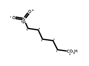 O=C(O)CCCCC[SH](=O)=O